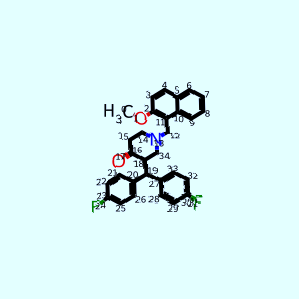 COc1ccc2ccccc2c1CN1CCC(=O)C(C(c2ccc(F)cc2)c2ccc(F)cc2)C1